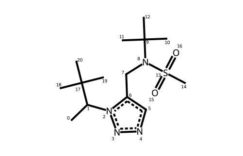 CC(n1nncc1CN(C(C)(C)C)S(C)(=O)=O)C(C)(C)C